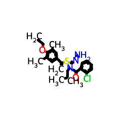 C=CCOc1c(C)cc(C(=C)S/C(=N\N)N(CC(C)C)C(=O)c2ccccc2Cl)cc1C